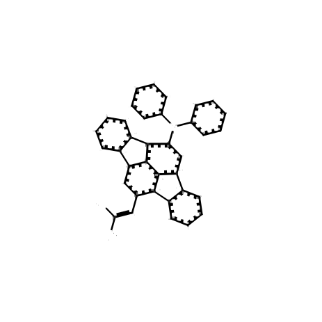 N#CC(C#N)=Cc1cc2c3c(c(N(c4ccccc4)c4ccccc4)cc4c3c1-c1ccccc1-4)-c1ccccc1-2